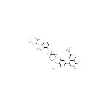 CNC(=O)C(CCC=O)n1c(=O)n(C)c2c(N3CC4(CCN(Cc5c(OC)cc(-c6cn(C)c(=O)c7cnc(C8CC8)cc67)cc5OC)CC4(F)F)C3)cccc21